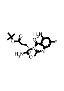 Cc1nc2cc(F)cc(N)c2c(=O)n1[C@@H](CCC(=O)OC(C)(C)C)C(N)=O